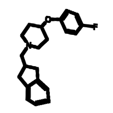 Fc1ccc(OC2CCN(CC3Cc4ccccc4C3)CC2)cc1